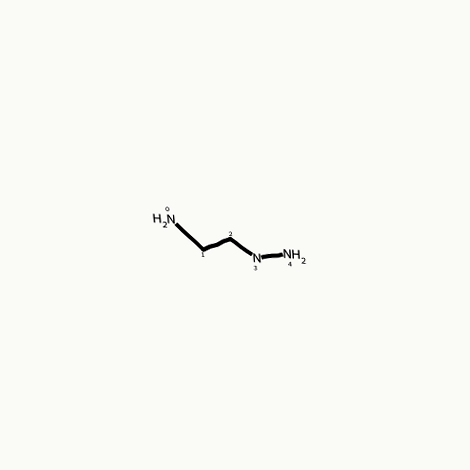 NCC[N]N